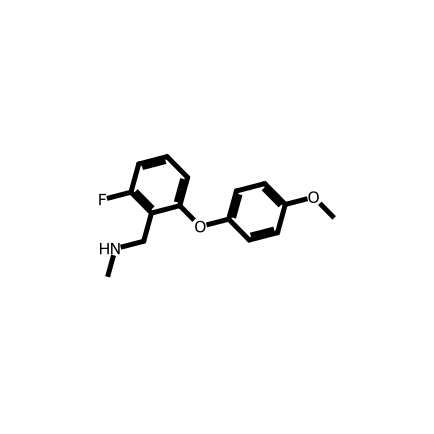 CNCc1c(F)cccc1Oc1ccc(OC)cc1